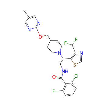 Cc1cnc(OCC2CCN(C(CNC(=O)c3c(F)cccc3Cl)c3scnc3C(F)F)CC2)nc1